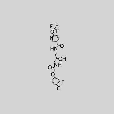 O=C(COc1ccc(Cl)c(F)c1)NCC(O)CCNC(=O)c1ccc(OC(F)(F)F)nc1